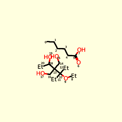 CCCCCC(=O)O.CCOC(CC)(CC)C(CO)(CO)C(O)CC